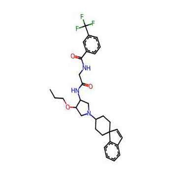 CCCOC1CN(C2CCC3(C=Cc4ccccc43)CC2)CC1NC(=O)CNC(=O)c1cccc(C(F)(F)F)c1